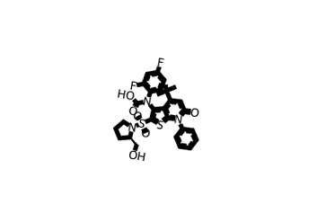 CC(C)(C)c1cc(=O)n(-c2ccccc2)c2sc(S(=O)(=O)N3CCC[C@@H]3CO)c(N(C(=O)O)c3ccc(F)cc3F)c12